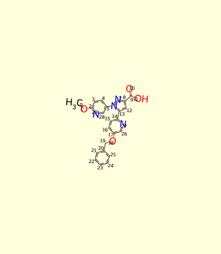 COc1ccc(-n2nc(C(=O)O)cc2-c2ccc(OCc3ccccc3)cn2)cn1